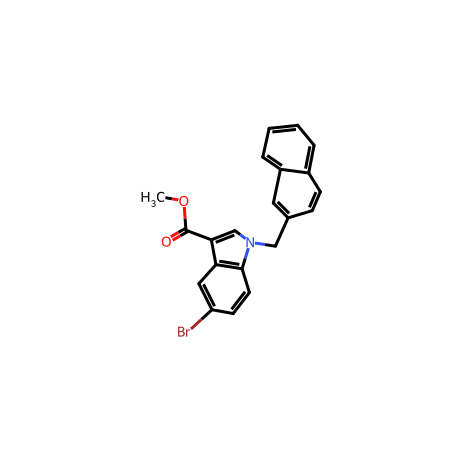 COC(=O)c1cn(Cc2ccc3ccccc3c2)c2ccc(Br)cc12